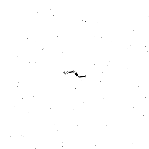 CN=NI